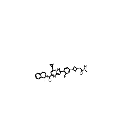 CNC(=O)C[C@H]1C[C@H](c2ccc(-c3cc4nc(C(=O)N5CCc6ccccc6[C@H]5C)cc(C5CC5)n4n3)c(F)c2)C1